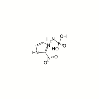 NP(=O)(O)O.O=[N+]([O-])c1ncc[nH]1